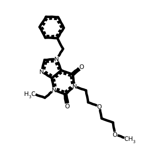 CCn1c(=O)n(CCOCCOC)c(=O)c2c1ncn2Cc1ccccc1